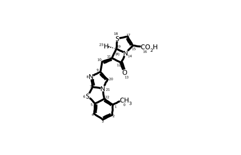 Cc1cccc2sc3nc(C=C4C(=O)N5C(C(=O)O)=CS[C@H]45)cn3c12